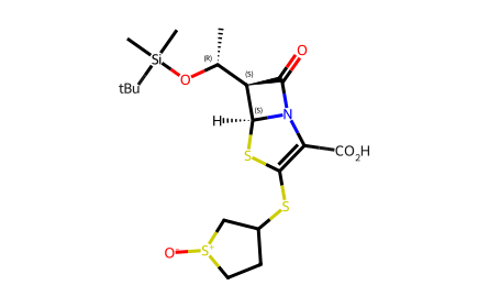 C[C@@H](O[Si](C)(C)C(C)(C)C)[C@H]1C(=O)N2C(C(=O)O)=C(SC3CC[S+]([O-])C3)S[C@@H]12